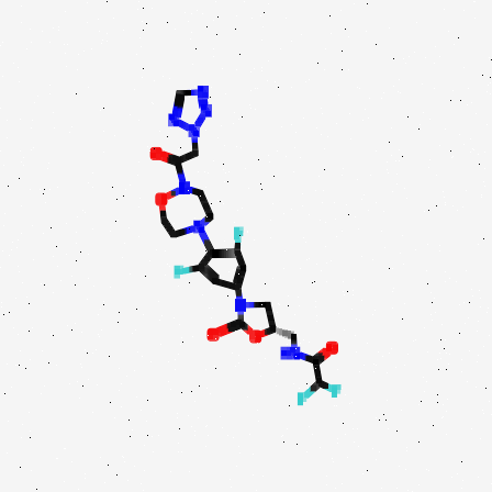 O=C(NC[C@H]1CN(c2cc(F)c(N3CCON(C(=O)Cn4ncnn4)CC3)c(F)c2)C(=O)O1)C(F)F